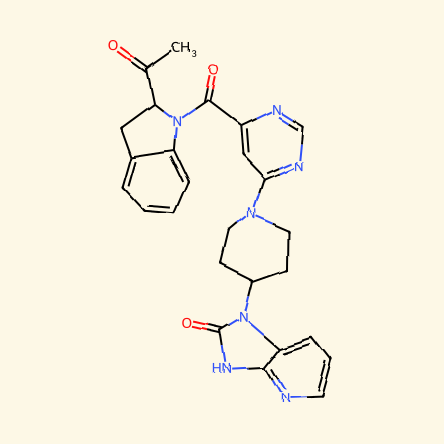 CC(=O)C1Cc2ccccc2N1C(=O)c1cc(N2CCC(n3c(=O)[nH]c4ncccc43)CC2)ncn1